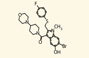 Cn1c(CSc2ccc(F)cc2)c(C(=O)N2CCC(N3CCOCC3)CC2)c2cc(O)c(Br)cc21